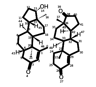 CC1=CC(=O)C[C@@H]2CC[C@H]3[C@@H]4CC[C@H](O)[C@@]4(C)CC[C@@H]3[C@@]12C.C[C@]12CCC(=O)C=C1CC[C@@H]1[C@@H]2CC[C@]2(C)C(=O)CC[C@@H]12